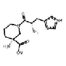 N[C@@H](Cc1c[nH]cn1)C(=O)N1CCC[C@](N)(C(=O)O)C1